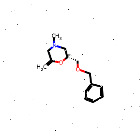 C=C1CN(C)C[C@H](COCc2ccccc2)O1